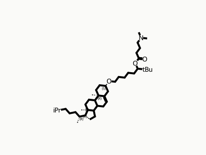 CC(C)CCC[C@@H](C)[C@H]1CCC2C3CC=C4C[C@@H](OCCCCCC(OC(=O)CCCN(C)C)C(C)(C)C)CC[C@]4(C)C3CC[C@@]21C